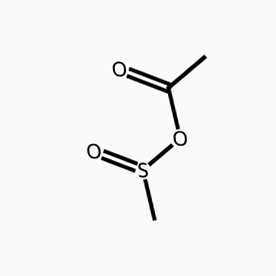 CC(=O)OS(C)=O